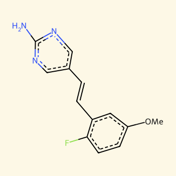 COc1ccc(F)c(C=Cc2cnc(N)nc2)c1